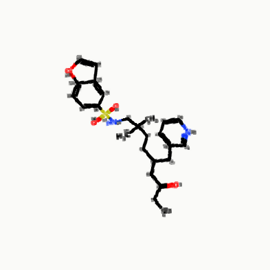 CC(C)(C)CC(=O)CC(CCC(C)(C)CNS(=O)(=O)c1ccc2occc2c1)Cc1cccnc1